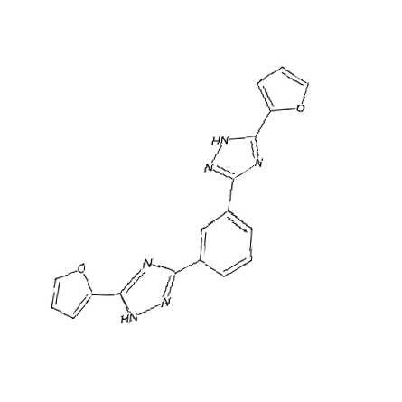 c1cc(-c2n[nH]c(-c3ccco3)n2)cc(-c2n[nH]c(-c3ccco3)n2)c1